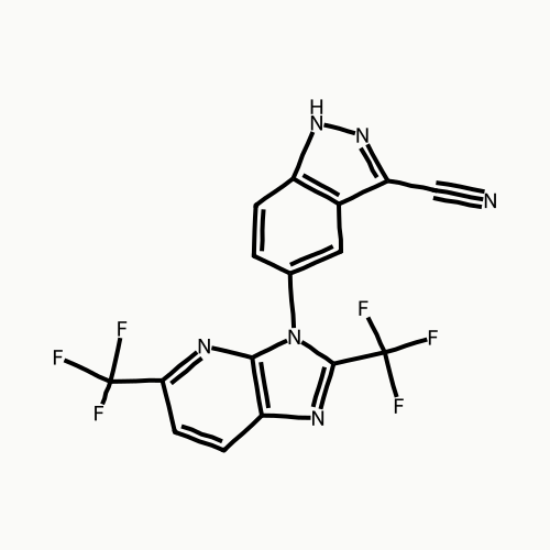 N#Cc1n[nH]c2ccc(-n3c(C(F)(F)F)nc4ccc(C(F)(F)F)nc43)cc12